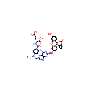 CN(Cc1cnc2nc(N)nc(N)c2n1)c1ccc(C(=O)N[C@@H](CCC(=O)O)C(=O)O)cc1.O=C1OC2(c3ccc(O)cc3Oc3cc(O)ccc32)c2ccccc21